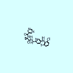 O=C(NC1(C(=O)NCc2ccc(Nc3c(F)cccc3Cl)cn2)CC1)c1cncnc1